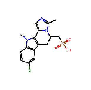 Cc1ncc2n1C(CS(=O)(=O)O)Cc1c-2n(C)c2ccc(Cl)cc12